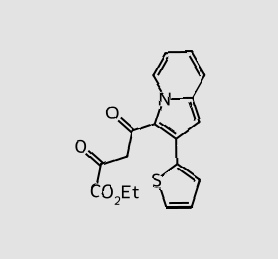 CCOC(=O)C(=O)CC(=O)c1c(-c2cccs2)cc2ccccn12